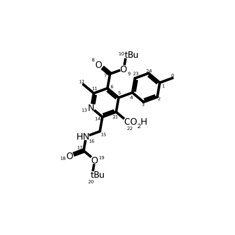 Cc1ccc(-c2c(C(=O)OC(C)(C)C)c(C)nc(CNC(=O)OC(C)(C)C)c2C(=O)O)cc1